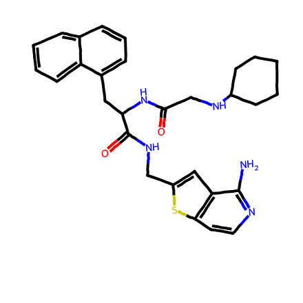 Nc1nccc2sc(CNC(=O)C(Cc3cccc4ccccc34)NC(=O)CNC3CCCCC3)cc12